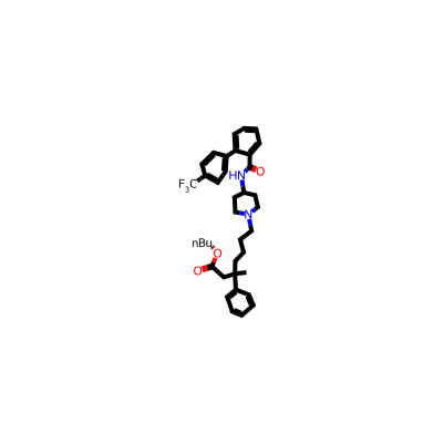 CCCCOC(=O)CC(C)(CCCCN1CCC(NC(=O)c2ccccc2-c2ccc(C(F)(F)F)cc2)CC1)c1ccccc1